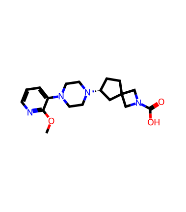 COc1ncccc1N1CCN([C@@H]2CCC3(C2)CN(C(=O)O)C3)CC1